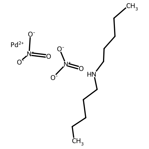 CCCCCNCCCCC.O=[N+]([O-])[O-].O=[N+]([O-])[O-].[Pd+2]